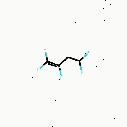 FC(F)=C(F)CC(F)F